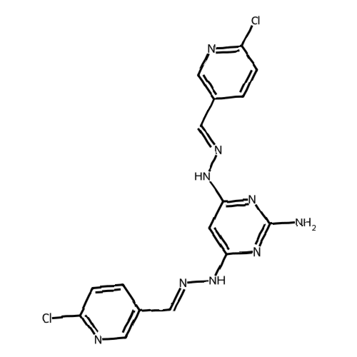 Nc1nc(NN=Cc2ccc(Cl)nc2)cc(NN=Cc2ccc(Cl)nc2)n1